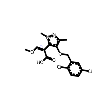 CO/C=C(\C(=O)O)c1c(OCc2cc(Cl)ccc2Cl)c(C)nn1C